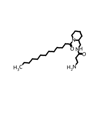 CCCCCCCCCCCCC(=O)N1CCCCC1CNC(=O)CCN